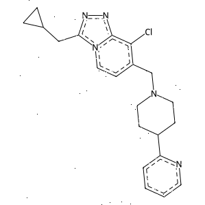 Clc1c(CN2CCC(c3ccccn3)CC2)ccn2c(CC3CC3)nnc12